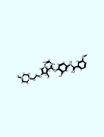 COc1cccc(C(=O)Nc2ccc(Oc3ncnn4cc(OCCN5CCN(C)CC5)c(C)c34)c(F)c2)c1